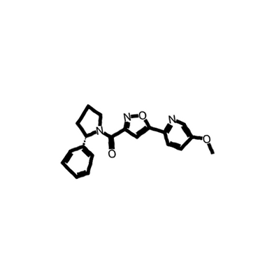 COc1ccc(-c2cc(C(=O)N3CCC[C@H]3c3ccccc3)no2)nc1